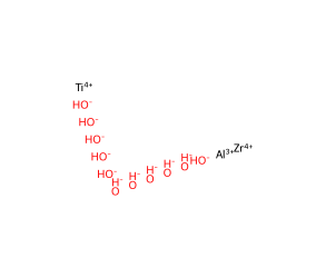 [Al+3].[OH-].[OH-].[OH-].[OH-].[OH-].[OH-].[OH-].[OH-].[OH-].[OH-].[OH-].[Ti+4].[Zr+4]